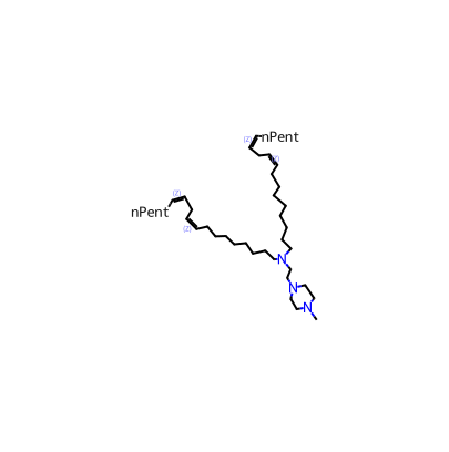 CCCCC/C=C\C/C=C\CCCCCCCCN(CCCCCCCC/C=C\C/C=C\CCCCC)CCN1CCN(C)CC1